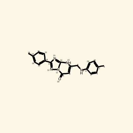 Cc1ccc(NCc2cc(=O)n3nc(-c4ccc(C)cc4)nc3[nH]2)cc1